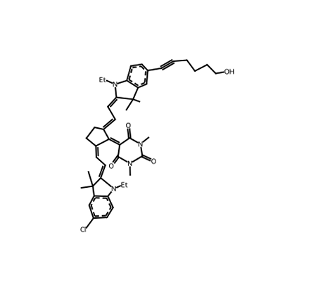 CCN1/C(=C/C=C2/CC/C(=C\C=C3\N(CC)c4ccc(C#CCCCCO)cc4C3(C)C)C2=C2C(=O)N(C)C(=O)N(C)C2=O)C(C)(C)c2cc(Cl)ccc21